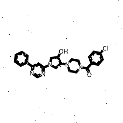 O=C(c1ccc(Cl)cc1)N1CCN(C2CN(c3cc(-c4ccccc4)ncn3)CC2O)CC1